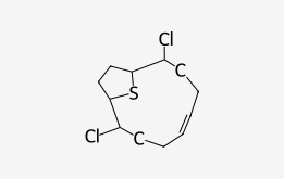 ClC1CCC=CCCC(Cl)C2CCC1S2